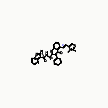 Cc1ncc(/C=C/c2cccc3nc([C@@H](C)NC(=O)c4c(N)nn5cccnc45)n(-c4ccccc4)c(=O)c23)n1C